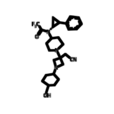 N#CCC1(N2CCC(N(C(=O)C(F)(F)F)[C@@H]3CC3c3ccccc3)CC2)CN(C2CCC(O)CC2)C1